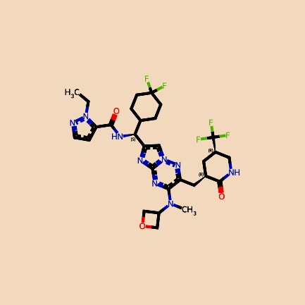 CCn1nccc1C(=O)N[C@H](c1cn2nc(C[C@H]3C[C@@H](C(F)(F)F)CNC3=O)c(N(C)C3COC3)nc2n1)C1CCC(F)(F)CC1